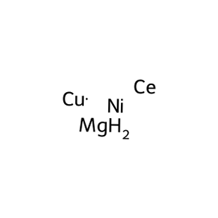 [Ce].[Cu].[MgH2].[Ni]